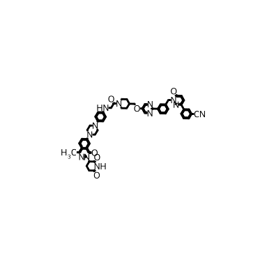 Cc1nn(C2CCC(=O)NC2=O)c(=O)c2cc(N3CCN(c4ccc(NCC(=O)N5CCC(COc6cnc(-c7cccc(Cn8nc(-c9cccc(C#N)c9)ccc8=O)c7)nc6)CC5)cc4)CC3)ccc12